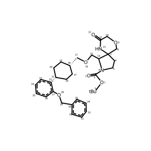 CC(C)(C)OC(=O)N1CCC2(COCC(=O)N2)C1COC[C@H]1CC[C@@H](c2ccccc2OCc2ccccc2)CC1